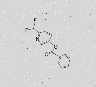 O=C(Oc1ccc(C(F)F)nc1)c1ccccc1